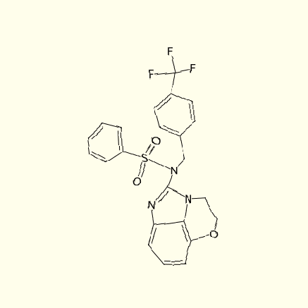 O=S(=O)(c1ccccc1)N(Cc1ccc(C(F)(F)F)cc1)c1nc2cccc3c2n1CCO3